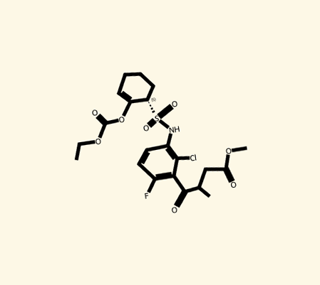 CCOC(=O)OC1=CCCC[C@@H]1S(=O)(=O)Nc1ccc(F)c(C(=O)C(C)CC(=O)OC)c1Cl